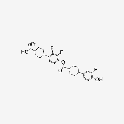 CCCC(O)C1CCC(c2ccc(OC(=O)C3CCC(c4ccc(O)c(F)c4)CC3)c(F)c2F)CC1